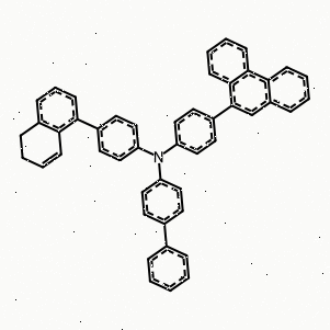 C1=Cc2c(cccc2-c2ccc(N(c3ccc(-c4ccccc4)cc3)c3ccc(-c4cc5ccccc5c5ccccc45)cc3)cc2)CC1